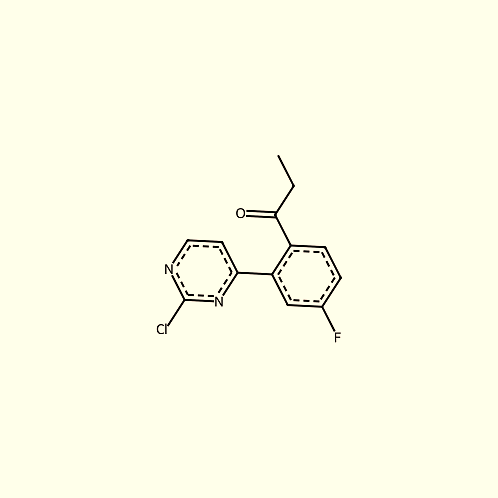 CCC(=O)c1ccc(F)cc1-c1ccnc(Cl)n1